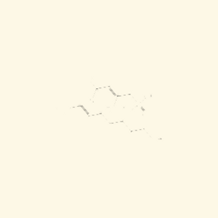 C/C(=C\C(N)C(=O)O)CP(=O)(O)O.CCCCCCCCCCCCCCC/C=C/C(=O)O